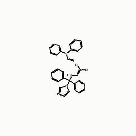 C=CB(c1ccccc1)c1ccccc1.CCC(=C[SiH2]C(c1ccccc1)(c1ccccc1)n1ccnc1)CC